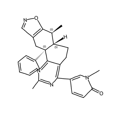 Cc1nc(-c2ccc(=O)n(C)c2)c2c(n1)[C@@]1(c3ccccc3)Cc3cnoc3[C@@H](C)[C@@H]1CC2